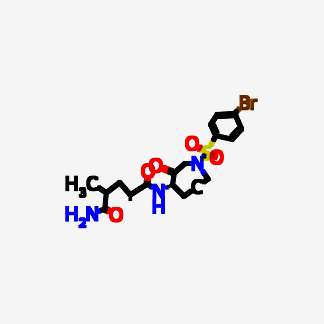 CC(C[CH]C(=O)N[C@H]1CCCN(S(=O)(=O)c2ccc(Br)cc2)CC1=O)C(N)=O